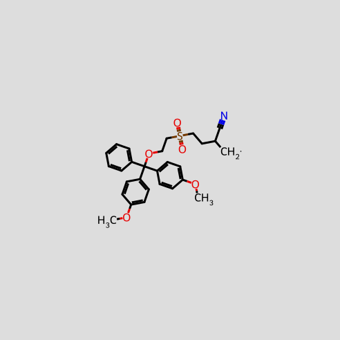 [CH2]C(C#N)CCS(=O)(=O)CCOC(c1ccccc1)(c1ccc(OC)cc1)c1ccc(OC)cc1